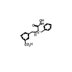 O=C(O)c1cccc(CN[C@@H](Cc2ccccc2)C(=O)NO)c1